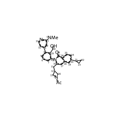 CNc1cc(-c2cccc(-n3c(CC4CN(C(C)=O)C4)cc4cc(C5CC5)ccc4c3=O)c2CO)ccn1